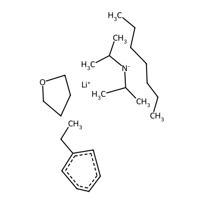 C1CCOC1.CC(C)[N-]C(C)C.CCCCCCC.CCc1ccccc1.[Li+]